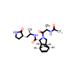 CC(C)(C)[C@H](NC(=O)C(F)(F)F)C(=O)N1C[C@@H]2[C@@H]([C@@H]3C=C[C@H]2CC3)[C@@H]1C(=O)N[C@H](C#N)C[C@@H]1CCNC1=O